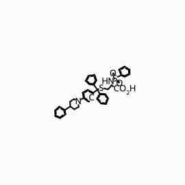 O=C(O)C(CSC(c1ccccc1)(c1ccccc1)c1ccc(N2CCC(c3ccccc3)CC2)cc1)NS(=O)(=O)c1ccccc1